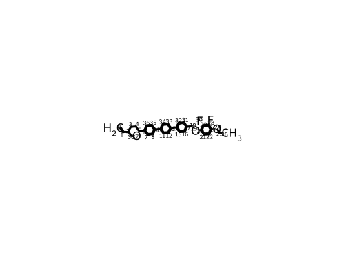 C=CC1CCC(c2ccc(-c3ccc(-c4ccc(COc5ccc(OCC)c(F)c5F)cc4)cc3)cc2)OC1